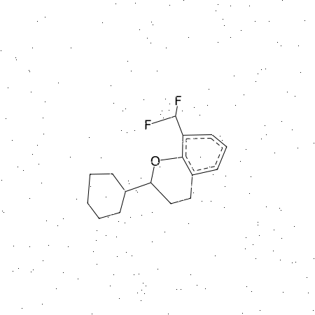 FC(F)c1cccc2c1OC(C1CCCCC1)CC2